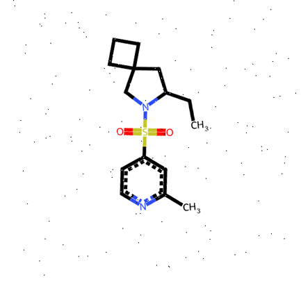 CCC1CC2(CCC2)CN1S(=O)(=O)c1ccnc(C)c1